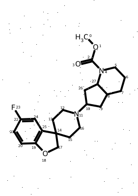 COC(=O)N1CCCC2CC(N3CCC4(CC3)COc3ccc(F)cc34)CC21